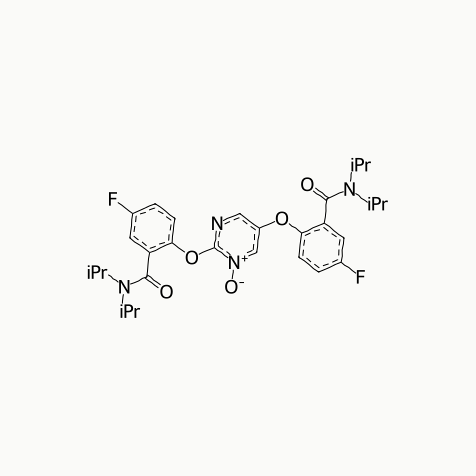 CC(C)N(C(=O)c1cc(F)ccc1Oc1cnc(Oc2ccc(F)cc2C(=O)N(C(C)C)C(C)C)[n+]([O-])c1)C(C)C